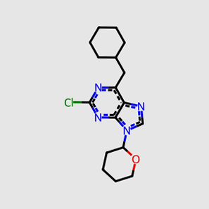 Clc1nc(CC2CCCCC2)c2ncn(C3CCCCO3)c2n1